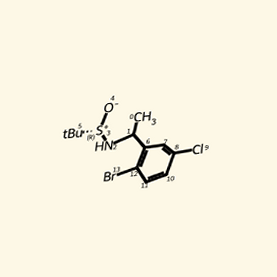 CC(N[S@@+]([O-])C(C)(C)C)c1cc(Cl)ccc1Br